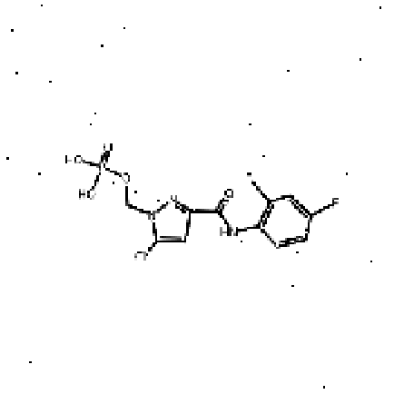 O=C(Nc1ccc(F)cc1F)c1cc(Cl)n(COP(=O)(O)O)n1